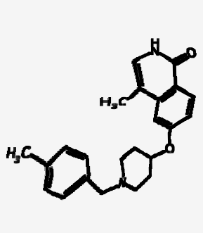 Cc1ccc(CN2CCC(Oc3ccc4c(=O)[nH]cc(C)c4c3)CC2)cc1